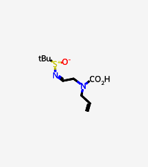 C=CCN(C/C=N\[S+]([O-])C(C)(C)C)C(=O)O